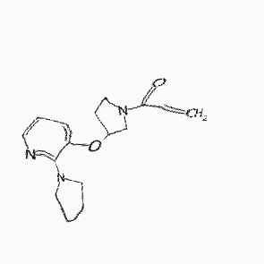 C=CC(=O)N1CCC(Oc2cccnc2N2CCCC2)C1